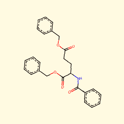 O=C(CCC(NC(=O)c1ccccc1)C(=O)OCc1ccccc1)OCc1ccccc1